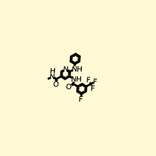 CNC(=O)c1cnc(Nc2ccccc2)c(NC(=O)c2cc(F)cc(C(F)(F)F)c2)c1